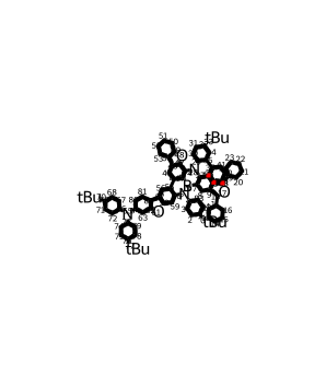 CC(C)(C)c1ccc(N2B3c4cc5c(-c6ccccc6)oc(-c6ccccc6)c5cc4N(c4ccc(C(C)(C)C)cc4-c4ccccc4)c4c3c(cc3c4oc4ccccc43)-c3cc4c(cc32)oc2cc(N(c3ccc(C(C)(C)C)cc3)c3ccc(C(C)(C)C)cc3)ccc24)cc1